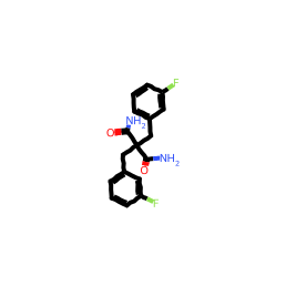 NC(=O)C(Cc1cccc(F)c1)(Cc1cccc(F)c1)C(N)=O